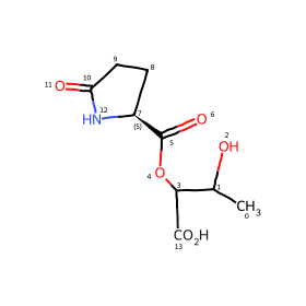 CC(O)C(OC(=O)[C@@H]1CCC(=O)N1)C(=O)O